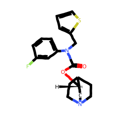 O=C(O[C@H]1CN2CCC1CC2)N(Cc1cccs1)c1cccc(F)c1